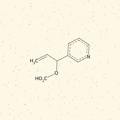 C=CC(OC(=O)O)c1cccnc1